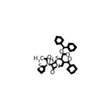 CC(=O)N(c1cccs1)C1C(=O)N2C=C(C(=O)c3ccccc3)C(C(=O)OC(c3ccccc3)c3ccccc3)S[C@H]12